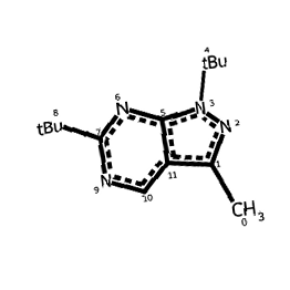 Cc1nn(C(C)(C)C)c2nc(C(C)(C)C)ncc12